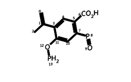 C=C(C)c1cc(C(=O)O)c(P=O)cc1OP